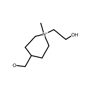 C[N+]1(CCO)CCC(C[O])CC1